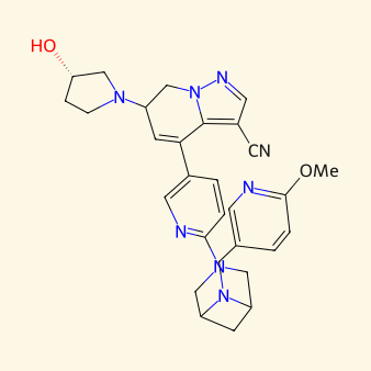 COc1ccc(CN2C3CC2CN(c2ccc(C4=CC(N5CC[C@H](O)C5)Cn5ncc(C#N)c54)cn2)C3)cn1